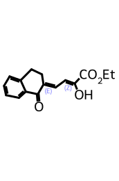 CCOC(=O)/C(O)=C/C=C1\CCc2ccccc2C1=O